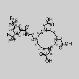 O=C(O)CN1CCCN(CC(=O)O)CCN(CC(=O)O)CCCN(CCNC(=O)c2cc(C(F)(F)F)cc(C(F)(F)F)c2)CC1